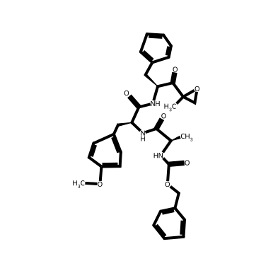 COc1ccc(C[C@H](NC(=O)[C@@H](C)NC(=O)OCc2ccccc2)C(=O)N[C@@H](Cc2ccccc2)C(=O)C2(C)CO2)cc1